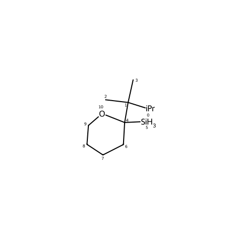 CC(C)C(C)(C)C1([SiH3])CCCCO1